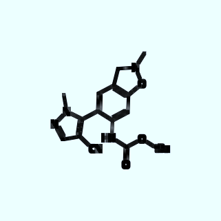 CN1Cc2cc(-c3c(C#N)cnn3C)c(NC(=O)OC(C)(C)C)cc2O1